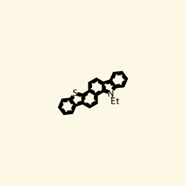 CCn1c2ccccc2c2ccc3c(ccc4c5ccccc5sc43)c21